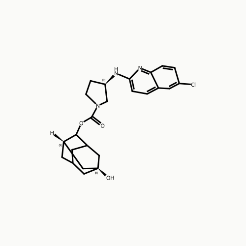 O=C(OC1C2CC3C[C@H]1C[C@@](O)(C3)C2)N1CC[C@@H](Nc2ccc3cc(Cl)ccc3n2)C1